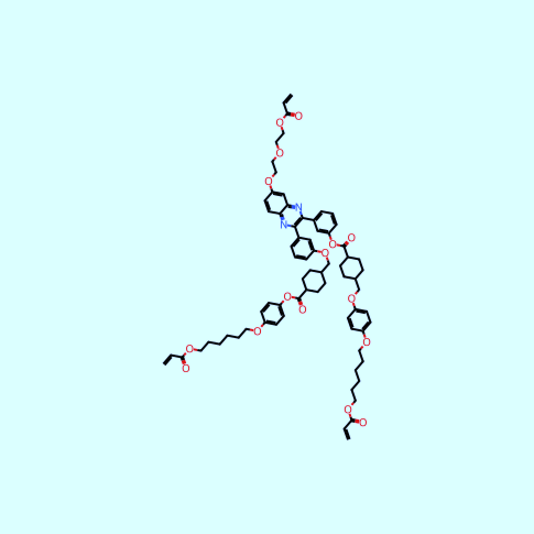 C=CC(=O)OCCCCCCOc1ccc(OCC2CCC(C(=O)Oc3cccc(-c4nc5cc(OCCOCCOC(=O)C=C)ccc5nc4-c4cccc(OCC5CCC(C(=O)Oc6ccc(OCCCCCCOC(=O)C=C)cc6)CC5)c4)c3)CC2)cc1